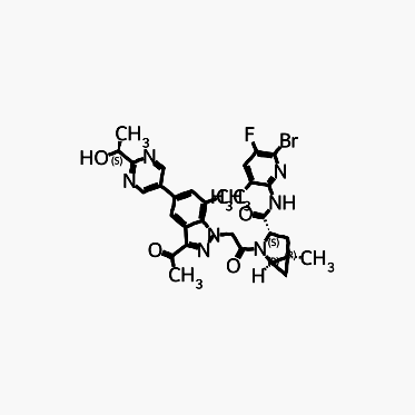 CC(=O)c1nn(CC(=O)N2[C@H](C(=O)Nc3nc(Br)c(F)cc3C)C[C@@]3(C)C[C@@H]23)c2c(C)cc(-c3cnc([C@H](C)O)nc3)cc12